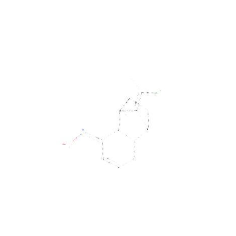 C/C(Cl)=C1/[C@H]2CC[C@@H]1C1C(=NO)C=CCC12